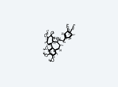 COc1cc2c(c(OC)c1OC)-c1ccc(OC)c(=O)cc1[C@@H](NCc1ccc(F)c(F)c1)CC2